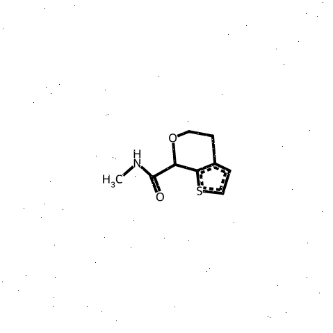 CNC(=O)C1OCCc2ccsc21